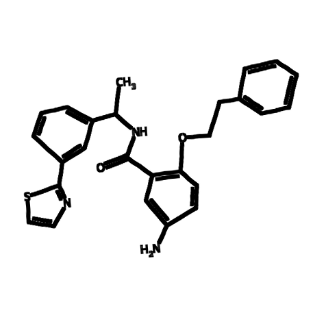 CC(NC(=O)c1cc(N)ccc1OCCc1ccccc1)c1cccc(-c2nccs2)c1